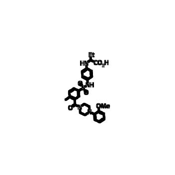 CCC(Nc1ccc(NS(=O)(=O)c2ccc(C)c(C(=O)N3CCN(c4ccccc4OC)CC3)c2)cc1)C(=O)O